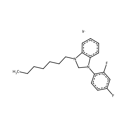 CCCCCCCN1CN(c2ccc(F)cc2F)c2ccccc21.[Ir]